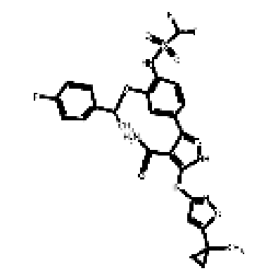 C[C@H](Oc1cc(-c2n[nH]c(Nc3cc(C4(C)CC4)on3)c2C(N)=O)ccc1NS(=O)(=O)C(F)F)c1ccc(F)cc1